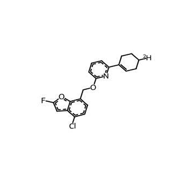 [2H]C1CC=C(c2cccc(OCc3ccc(Cl)c4cc(F)oc34)n2)CC1